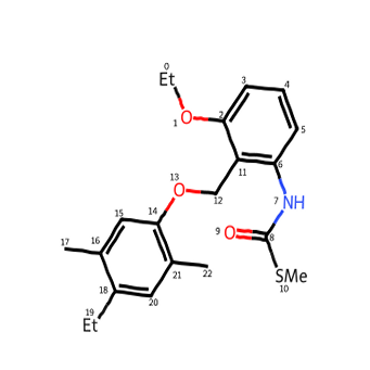 CCOc1cccc(NC(=O)SC)c1COc1cc(C)c(CC)cc1C